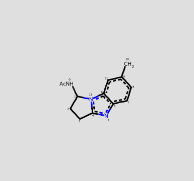 CC(=O)NC1CCc2nc3ccc(C)cc3n21